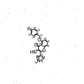 Cn1cnc(-c2oc3cccc(OCc4ccc(F)cc4)c3c(=O)c2O)n1